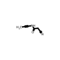 CC#CNC(=O)CC#N